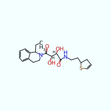 CCC1c2ccccc2CCN1C(=O)[C@H](O)[C@@H](O)C(=O)NCCC1CC=CS1